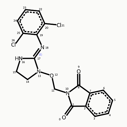 O=C1c2ccccc2C(=O)N1CON1CCN/C1=N\c1c(Cl)cccc1Cl